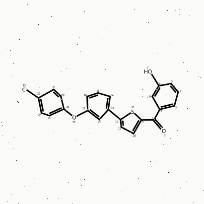 O=C(c1cccc(O)c1)c1ccc(-c2cccc(Oc3ccc(Cl)cc3)c2)s1